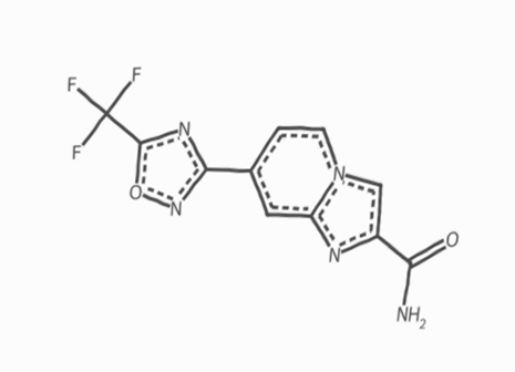 NC(=O)c1cn2ccc(-c3noc(C(F)(F)F)n3)cc2n1